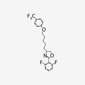 Fc1cccc(F)c1C1=NC(CCCCCOc2ccc(C(F)(F)F)cc2)CO1